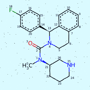 CN(C(=O)N1CCc2ccccc2[C@@H]1c1ccc(F)cc1)[C@@H]1CCCNC1